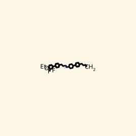 C=CCCc1ccc(C2CCC(/C=C/CCc3ccc(-c4ccc(OCC)c(F)c4F)cc3)CC2)cc1